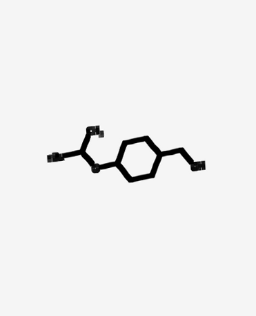 CCCCC(C)OC1CCC(CO)CC1